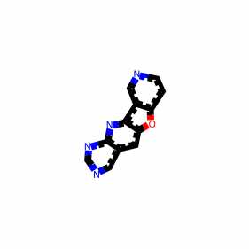 c1cc2oc3cc4cncnc4nc3c2cn1